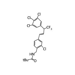 CC(C)(C)C(=O)NCc1ccc(/C=C/C(c2cc(Cl)c(Cl)c(Cl)c2)C(F)(F)F)cc1Cl